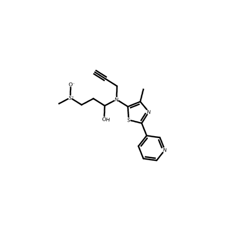 C#CCN(c1sc(-c2cccnc2)nc1C)C(O)CC[S+](C)[O-]